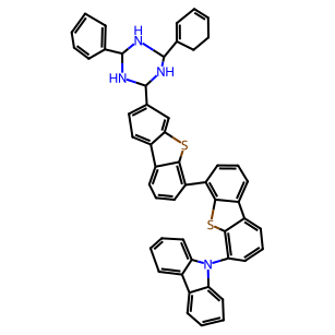 C1=CCCC(C2NC(c3ccccc3)NC(c3ccc4c(c3)sc3c(-c5cccc6c5sc5c(-n7c8ccccc8c8ccccc87)cccc56)cccc34)N2)=C1